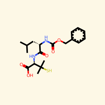 CC(C)C[C@H](NC(=O)OCc1ccccc1)C(=O)N[C@H](C(=O)O)C(C)(C)S